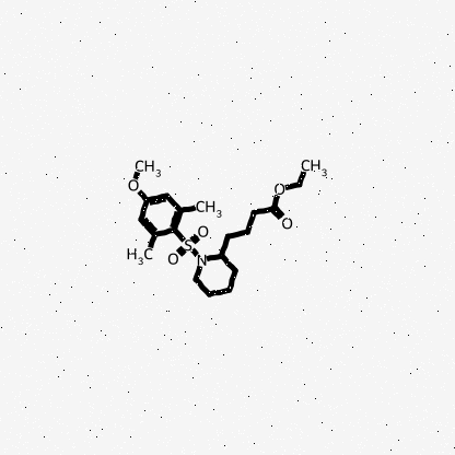 CCOC(=O)CCCC1CCCCN1S(=O)(=O)c1c(C)cc(OC)cc1C